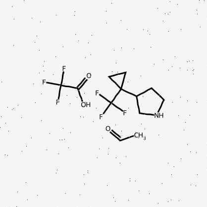 CC=O.FC(F)(F)C1(C2CCNC2)CC1.O=C(O)C(F)(F)F